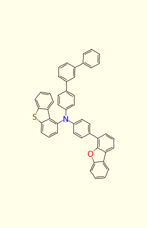 c1ccc(-c2cccc(-c3ccc(N(c4ccc(-c5cccc6c5oc5ccccc56)cc4)c4cccc5sc6ccccc6c45)cc3)c2)cc1